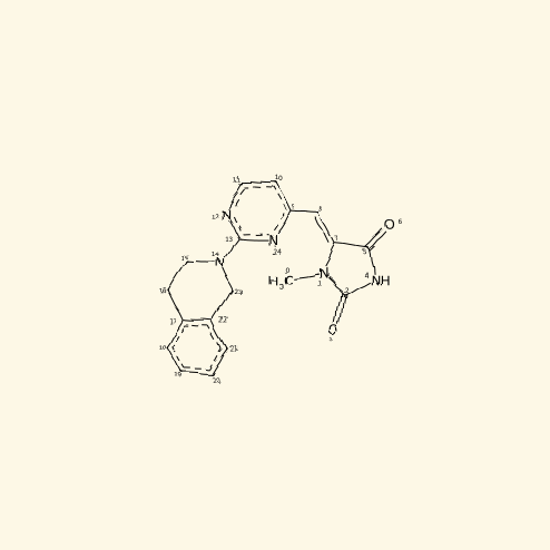 CN1C(=O)NC(=O)C1=Cc1ccnc(N2CCc3ccccc3C2)n1